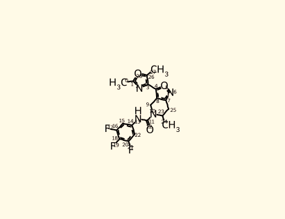 Cc1nc(-c2onc3c2CN(C(=O)Nc2cc(F)c(F)c(F)c2)C(C)C3)c(C)o1